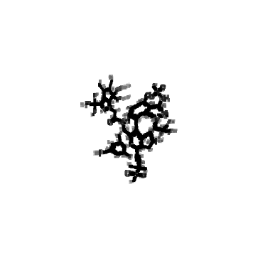 C[C@@H]1c2c(C(F)(F)F)nn(CC(=O)N[C@@H](Cc3cc(F)cc(F)c3)c3nc(C#CC(C)(C)S(C)(=O)=O)c4c(c3-c3ccc(Cl)c5c(NS(C)(=O)=O)nn(CC(F)(F)F)c35)C[C@@H](F)C4)c2C(F)(F)[C@@H]1C